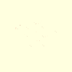 Cc1ccnc(C(C)C)c1-n1c(=O)nc(N2C[C@@H](C)NC[C@@H]2C)c2cc(C#N)c(N3CCCCC3)nc21